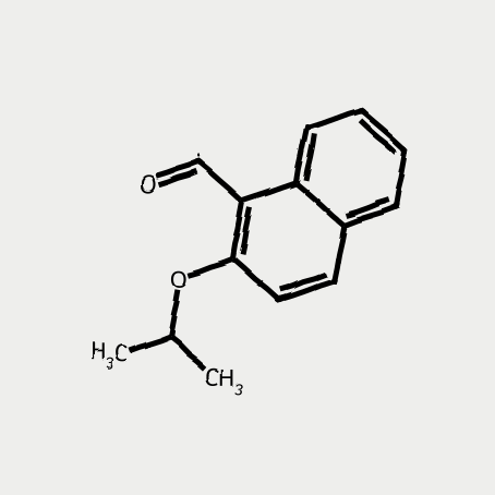 CC(C)Oc1ccc2ccccc2c1[C]=O